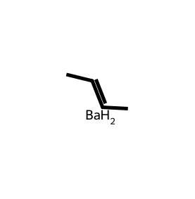 CC=CC.[BaH2]